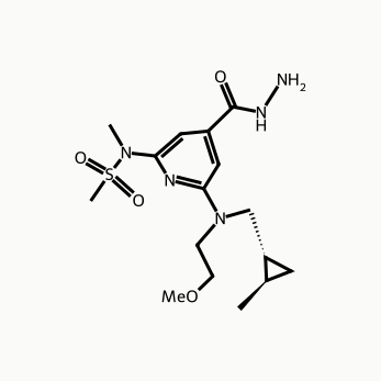 COCCN(C[C@@H]1C[C@H]1C)c1cc(C(=O)NN)cc(N(C)S(C)(=O)=O)n1